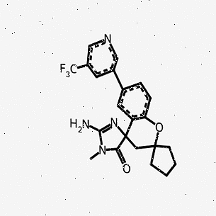 CN1C(=O)C2(CC3(CCCC3)Oc3ccc(-c4cncc(C(F)(F)F)c4)cc32)N=C1N